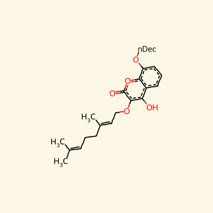 CCCCCCCCCCOc1cccc2c(O)c(OC/C=C(\C)CCC=C(C)C)c(=O)oc12